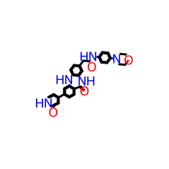 O=C(Cc1ccc2c(c1)NC(=O)c1ccc(-c3cc[nH]c(=O)c3)cc1N2)Nc1ccc(N2CCOCC2)cc1